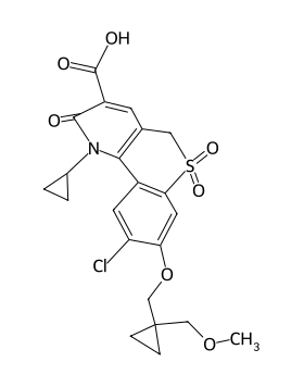 COCC1(COc2cc3c(cc2Cl)-c2c(cc(C(=O)O)c(=O)n2C2CC2)CS3(=O)=O)CC1